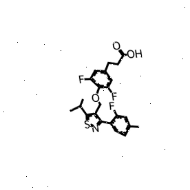 Cc1ccc(-c2nsc(C(C)C)c2COc2c(F)cc(CCC(=O)O)cc2F)c(F)c1